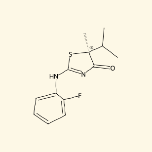 CC(C)[C@]1(C)SC(Nc2ccccc2F)=NC1=O